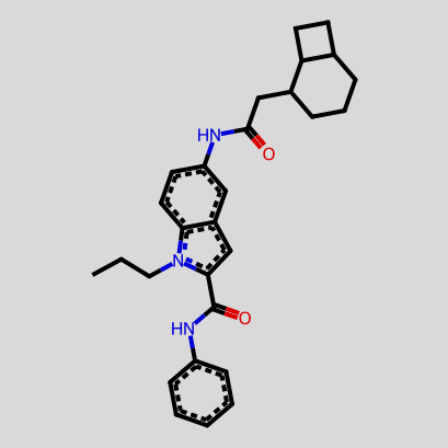 CCCn1c(C(=O)Nc2ccccc2)cc2cc(NC(=O)CC3CCCC4CCC43)ccc21